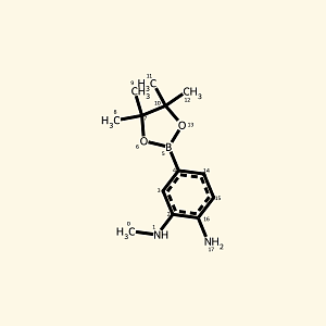 CNc1cc(B2OC(C)(C)C(C)(C)O2)ccc1N